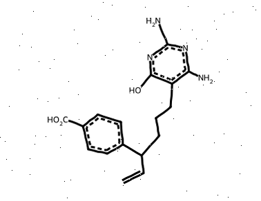 C=CC(CCCc1c(N)nc(N)nc1O)c1ccc(C(=O)O)cc1